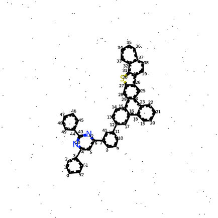 c1ccc(-c2cc(-c3cccc(-c4ccc5c(c4)c4ccccc4c4cc6c(cc54)sc4c5ccccc5ccc64)c3)nc(-c3ccccc3)n2)cc1